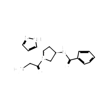 NCC(=O)N1C[C@H](NC(=O)c2ccccc2)C[C@H]1c1ccn[nH]1